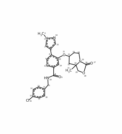 Cn1cc(-c2cnc(C(=O)NCc3ccc(Cl)cc3)cc2OC2CCN3C(=O)OCC3(C)C2)cn1